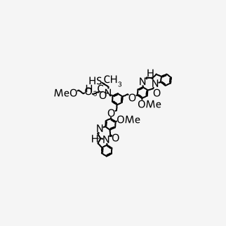 COCCOCCON(CC(C)(C)S)c1cc(COc2cc3c(cc2OC)C(=O)N2c4ccccc4C[C@H]2C=N3)cc(COc2cc3c(cc2OC)C(=O)N2c4ccccc4C[C@H]2C=N3)c1